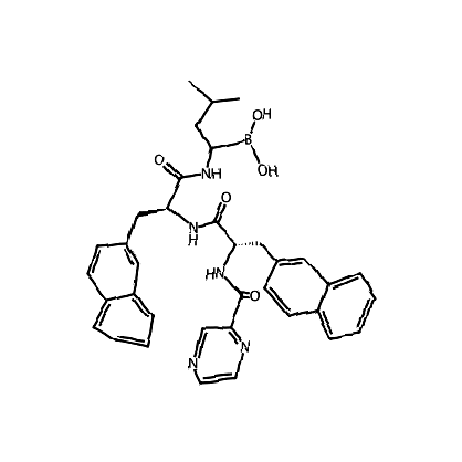 CC(C)CC(NC(=O)[C@H](Cc1ccc2ccccc2c1)NC(=O)[C@H](Cc1ccc2ccccc2c1)NC(=O)c1cnccn1)B(O)O